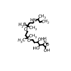 BC(C)(CCNC(C)C=C)OCCC(C)(C)OCCC(O)C(O)C1NOC1O